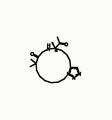 CC(=O)[C@]1(C)CCCc2cnnn2CCCCCCC(C)(C)C(=O)CN1